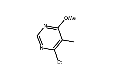 CCc1ncnc(OC)c1I